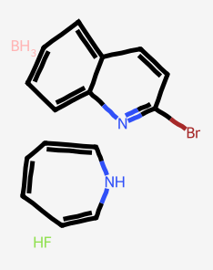 B.Brc1ccc2ccccc2n1.C1=CC=CNC=C1.F